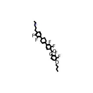 C/C=C/CCc1ccc(C2CC=C(c3ccc(C(=O)Oc4ccc(OCCCC)c(F)c4F)c(F)c3F)CC2)c(F)c1F